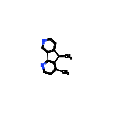 C=C1c2ccncc2-c2nccc(C)c21